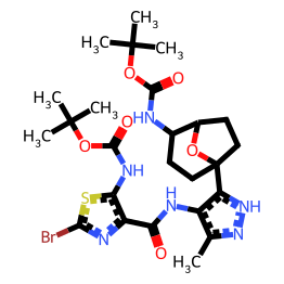 Cc1n[nH]c(C23CCC(NC(=O)OC(C)(C)C)C(CC2)O3)c1NC(=O)c1nc(Br)sc1NC(=O)OC(C)(C)C